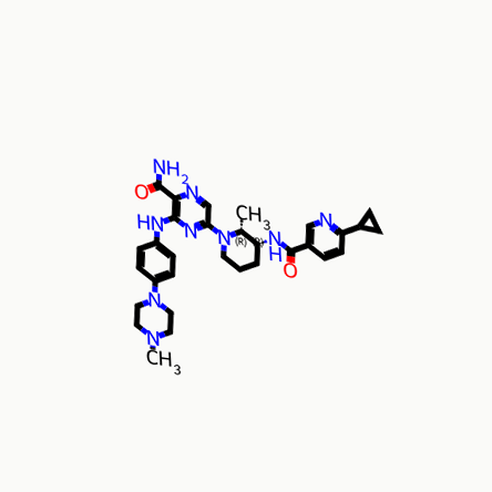 C[C@@H]1[C@H](NC(=O)c2ccc(C3CC3)nc2)CCCN1c1cnc(C(N)=O)c(Nc2ccc(N3CCN(C)CC3)cc2)n1